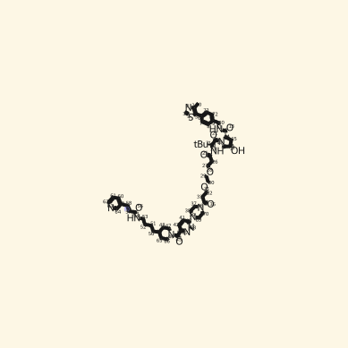 Cc1ncsc1-c1ccc(CNC(=O)[C@@H]2C[C@@H](O)CN2C(=O)[C@@H](NC(=O)CCOCCOCCC(=O)N2CCN(c3ccc(C(=O)N4CCC(CCCCNC(=O)/C=C/c5cccnc5)CC4)nn3)CC2)C(C)(C)C)cc1